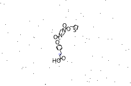 O=C(O)/C=C/c1ccc(OCC(=O)N2CCN(C(=O)OCc3cccs3)CC2)cc1